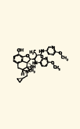 COc1ccc(NC(=O)/C(C)=C(\Nc2ccc(OC)nc2)[C@@H]2Oc3c(O)ccc4c3[C@@]23CCN(CC2CC2)[C@H](C4)[C@@]3(C)O)cn1